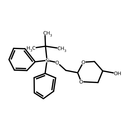 CC(C)(C)[Si](OCC1OCC(O)CO1)(c1ccccc1)c1ccccc1